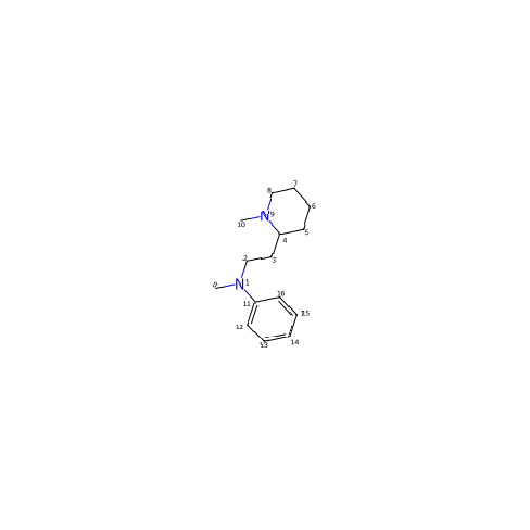 CN(CCC1CCCCN1C)c1ccccc1